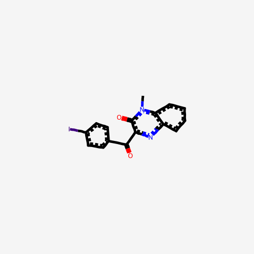 Cn1c(=O)c(C(=O)c2ccc(I)cc2)nc2ccccc21